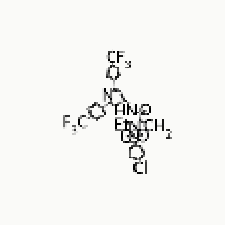 C=C(C(=O)NCc1cc(-c2ccc(C(F)(F)F)cc2)nc(-c2ccc(C(F)(F)F)cc2)c1)N(CC)S(=O)(=O)c1ccc(Cl)cc1